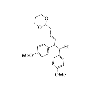 CCC(c1ccc(OC)cc1)C(C=CCC1OCCCO1)c1ccc(OC)cc1